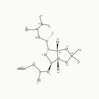 CCCCCCCCCOC(CC)O[C@H]1O[C@H]([C@@H](C)OC(CC)N(C)C)[C@@H]2OC(C)(C)O[C@H]12